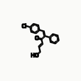 O=C(C=CCO)C(=Cc1ccc(Cl)cc1)c1ccccc1